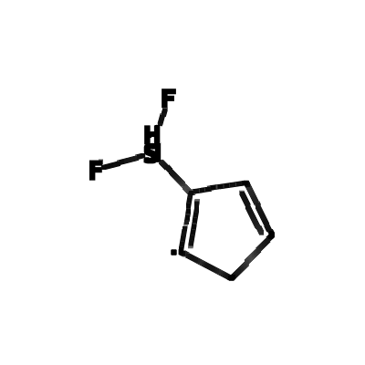 F[SiH](F)C1=[C]CC=C1